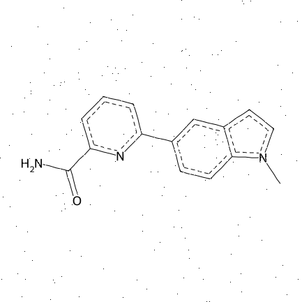 Cn1ccc2cc(-c3cccc(C(N)=O)n3)ccc21